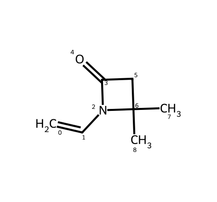 C=CN1C(=O)CC1(C)C